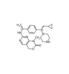 C[C@H](Nc1ncc2c(n1)N(C)C(=O)OC2)c1ccc([C@@H](CC2CC2)N2CCNCC2)cc1